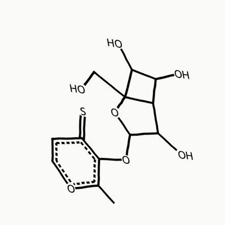 Cc1occc(=S)c1OC1OC2(CO)C(O)C(O)C2C1O